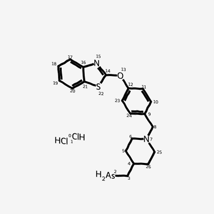 Cl.Cl.[AsH2]CC1CCN(Cc2ccc(Oc3nc4ccccc4s3)cc2)CC1